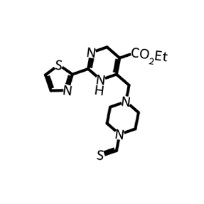 CCOC(=O)C1=C(CN2CCN(C=S)CC2)NC(c2nccs2)=NC1